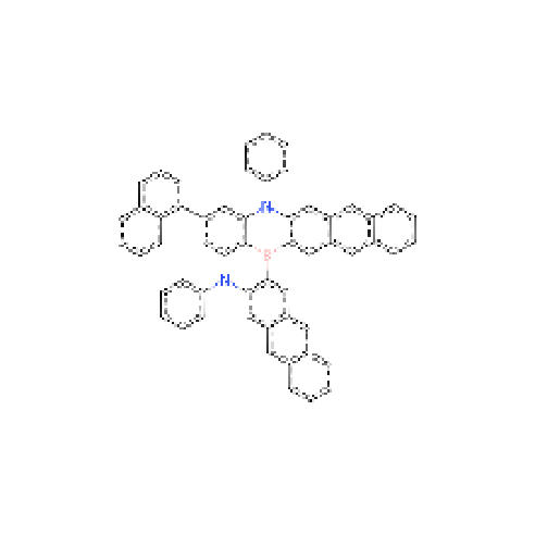 c1ccc(N2c3cc4cc5ccccc5cc4cc3B3c4cc5cc6ccccc6cc5cc4N(c4ccccc4)c4cc(-c5cccc6ccccc56)cc2c43)cc1